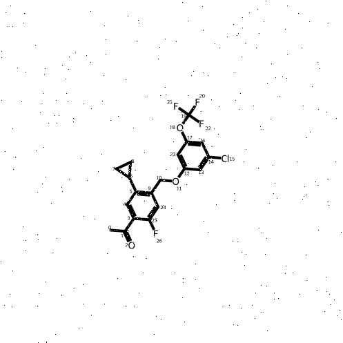 CC(=O)c1cc(C2CC2)c(COc2cc(Cl)cc(OC(F)(F)F)c2)cc1F